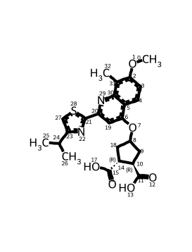 COc1ccc2c(OC3C[C@@H](C(=O)O)[C@H](C(=O)O)C3)cc(-c3nc(C(C)C)cs3)nc2c1C